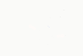 C=CCC1CC(=O)N(CC=C)C1=O